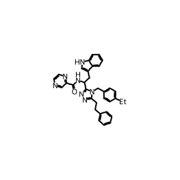 CCc1ccc(Cn2c(CCc3ccccc3)nnc2C(Cc2c[nH]c3ccccc23)NC(=O)c2cnccn2)cc1